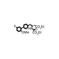 CCOC(=O)C[C@@H](Cc1ccc(-c2cc(F)ccc2OC)cc1)NC(=O)C(=O)OCC